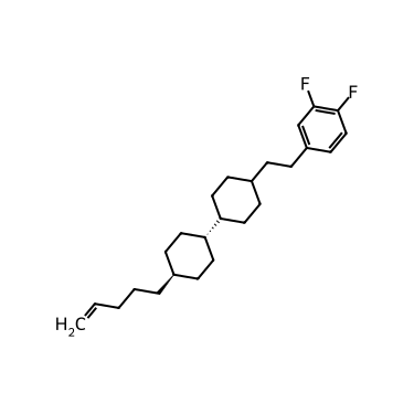 C=CCCC[C@H]1CC[C@H](C2CCC(CCc3ccc(F)c(F)c3)CC2)CC1